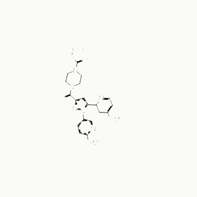 COc1ccc(-n2nc(C(=O)N3CCN(C(=O)OC(C)(C)C)CC3)cc2C2CC(SC)=CC=N2)cn1